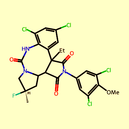 CCC12C(=O)N(c3cc(Cl)c(OC)c(Cl)c3)C(=O)C1C1C[C@@](C)(F)CN1C(=O)Nc1c(Cl)cc(Cl)cc12